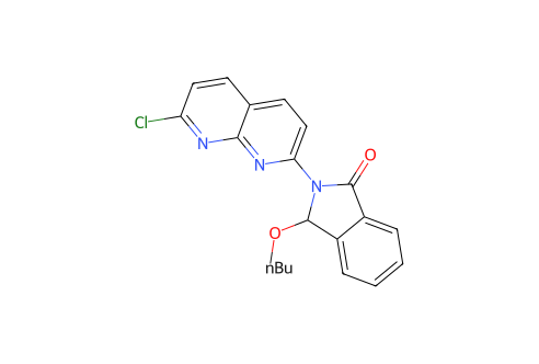 CCCCOC1c2ccccc2C(=O)N1c1ccc2ccc(Cl)nc2n1